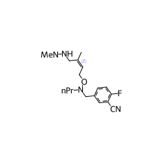 CCCN(Cc1ccc(F)c(C#N)c1)OC/C=C(/C)CNNC